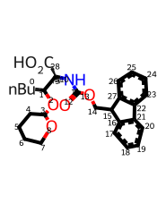 CCCCC(OC1CCCCO1)[C@H](NC(=O)OCC1c2ccccc2-c2ccccc21)C(=O)O